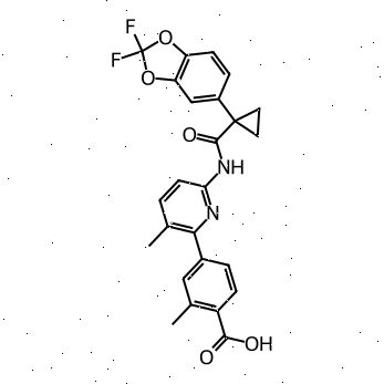 Cc1cc(-c2nc(NC(=O)C3(c4ccc5c(c4)OC(F)(F)O5)CC3)ccc2C)ccc1C(=O)O